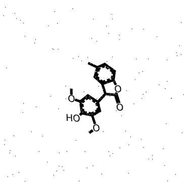 COc1cc(C2C(=O)Oc3ccc(C)cc32)cc(OC)c1O